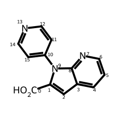 O=C(O)c1cc2cccnc2n1-c1ccncc1